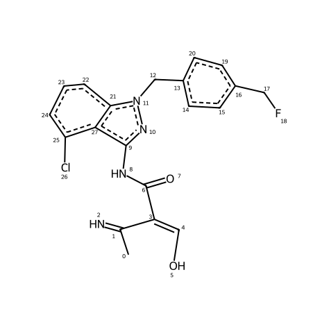 CC(=N)/C(=C\O)C(=O)Nc1nn(Cc2ccc(CF)cc2)c2cccc(Cl)c12